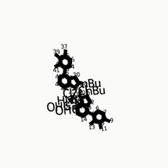 CCCCC1=Cc2c(-c3ccc(C)c(C)c3C)cccc2[CH]1[Zr]([Cl])([Cl])([B](NC=O)NC=O)[CH]1C(CCCC)=Cc2c(-c3ccc(C)c(C)c3C)cccc21